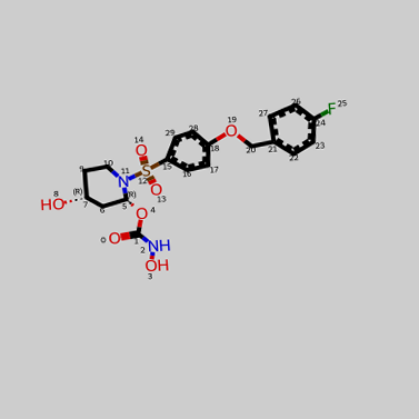 O=C(NO)O[C@@H]1C[C@H](O)CCN1S(=O)(=O)c1ccc(OCc2ccc(F)cc2)cc1